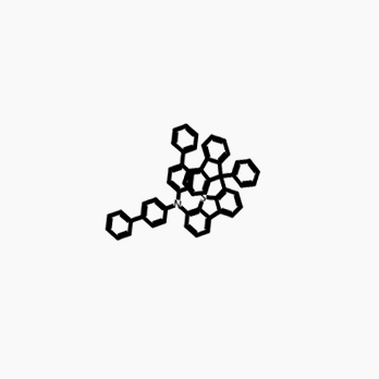 c1ccc(-c2ccc(N(c3ccc(-c4ccccc4)cc3)c3cccc4c3sc3c(C5(c6ccccc6)c6ccccc6-c6ccccc65)cccc34)cc2)cc1